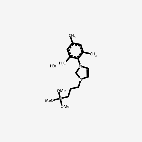 Br.CO[Si](CCCN1C=CN(c2c(C)cc(C)cc2C)C1)(OC)OC